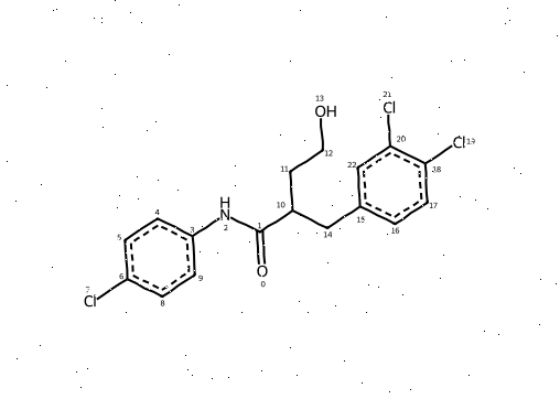 O=C(Nc1ccc(Cl)cc1)C(CCO)Cc1ccc(Cl)c(Cl)c1